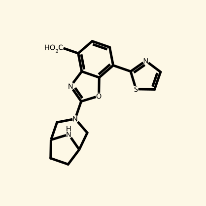 O=C(O)c1ccc(-c2nccs2)c2oc(N3CC4CCC(C3)N4)nc12